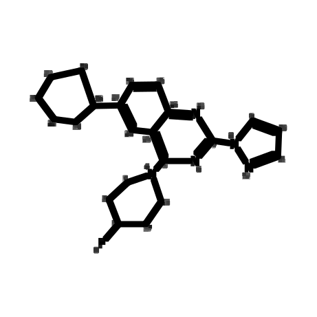 FC1CCN(c2nc(-n3cccn3)nc3ccc(C4CCCCC4)cc23)CC1